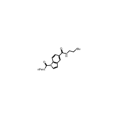 CCCCCC(=O)n1ccc2cc(C(=O)NCCC(C)(C)C)ccc21